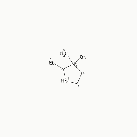 CCC1NCC[N+]1(C)[O-]